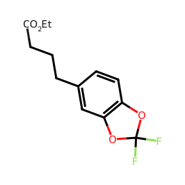 CCOC(=O)CCCc1ccc2c(c1)OC(F)(F)O2